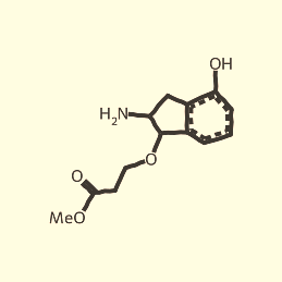 COC(=O)CCOC1c2cccc(O)c2CC1N